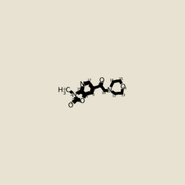 Cn1c(=O)oc2cc(C(=O)CN3CCOCC3)cnc21